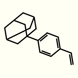 C=Cc1ccc(C23CC4CC(CC(C4)C2)C3)cc1